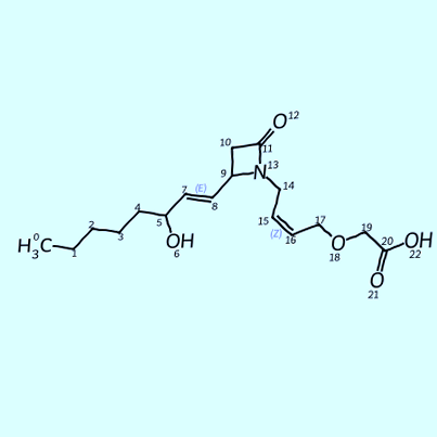 CCCCCC(O)/C=C/C1CC(=O)N1C/C=C\COCC(=O)O